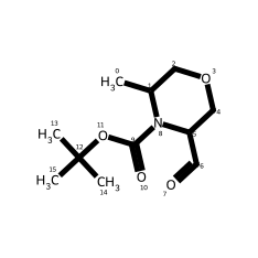 CC1COCC(C=O)N1C(=O)OC(C)(C)C